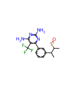 CC([S+]=O)C(C)c1cccc(-c2nc(N)nc(N)c2C(F)(F)F)c1